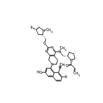 C#Cc1c(F)ccc2cc(O)cc(N3CCc4c(nc(OC[C@@H]5C[C@@H](F)CN5C)nc4N(C)C[C@@H]4CCCN4C(=O)C=C)C3)c12